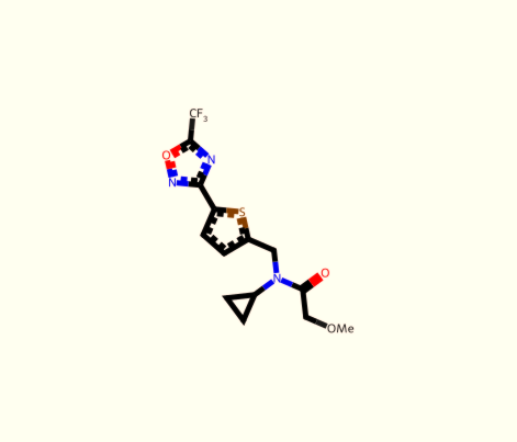 COCC(=O)N(Cc1ccc(-c2noc(C(F)(F)F)n2)s1)C1CC1